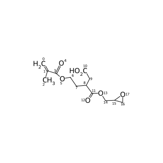 C=C(C)C(=O)OCCC(CC(=O)O)C(=O)OCC1CO1